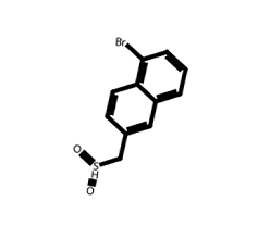 O=[SH](=O)Cc1ccc2c(Br)[c]ccc2c1